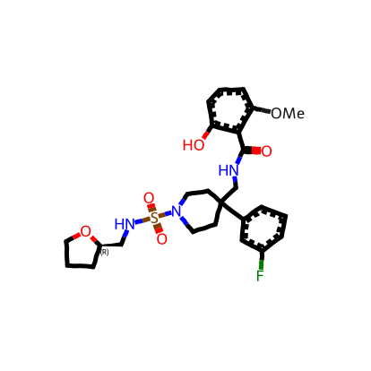 COc1cccc(O)c1C(=O)NCC1(c2cccc(F)c2)CCN(S(=O)(=O)NC[C@H]2CCCO2)CC1